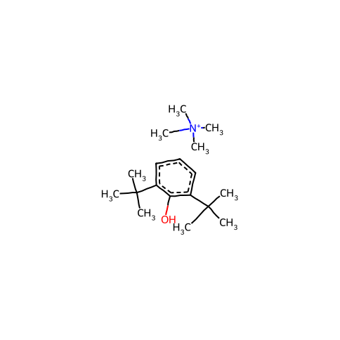 CC(C)(C)c1cccc(C(C)(C)C)c1O.C[N+](C)(C)C